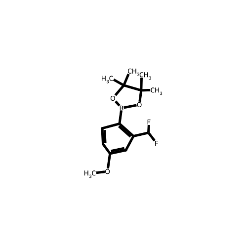 COc1ccc(B2OC(C)(C)C(C)(C)O2)c(C(F)F)c1